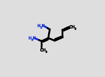 C=C/C=C\C(CN)=C(/C)N